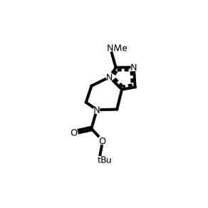 CNc1ncc2n1CCN(C(=O)OC(C)(C)C)C2